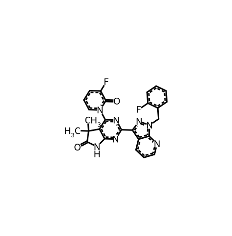 CC1(C)C(=O)Nc2nc(-c3nn(Cc4ccccc4F)c4ncccc34)nc(-n3cccc(F)c3=O)c21